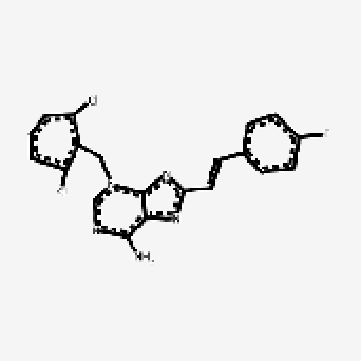 Nc1ncn(Cc2c(Cl)cccc2Cl)c2nc(/C=C/c3ccc(F)cc3)nc1-2